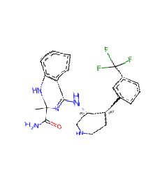 CC1(C(N)=O)N=C(N[C@H]2CNCC[C@@H]2c2cccc(C(F)(F)F)c2)c2ccccc2N1